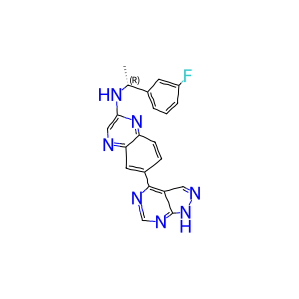 C[C@@H](Nc1cnc2cc(-c3ncnc4[nH]ncc34)ccc2n1)c1cccc(F)c1